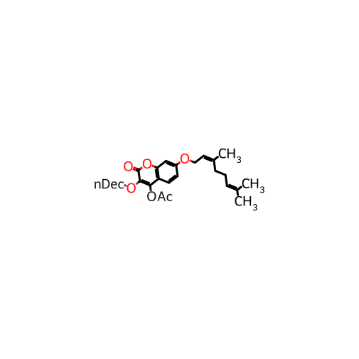 CCCCCCCCCCOc1c(OC(C)=O)c2ccc(OCC=C(C)CCC=C(C)C)cc2oc1=O